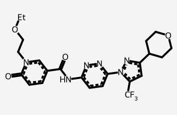 CCOCCn1cc(C(=O)Nc2ccc(-n3nc(C4CCOCC4)cc3C(F)(F)F)nn2)ccc1=O